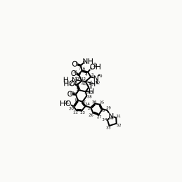 CN(C)C1C(O)=C(C(N)=O)C(=O)[C@@]2(N)C(O)=C3C(=O)c4c(O)ccc(-c5ccc(CN6CCCC6)cc5)c4C[C@H]3C[C@@H]12